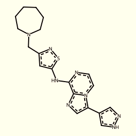 c1cn2c(-c3cn[nH]c3)cnc2c(Nc2cc(CN3CCCCCC3)ns2)n1